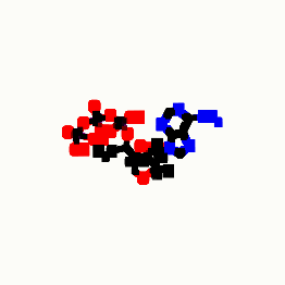 CC(OP(=O)(O)OP(=O)(O)OP(=O)(O)O)[C@@]12CO[C@@H]([C@H](n3cnc4c(N)ncnc43)O1)[C@@H]2O